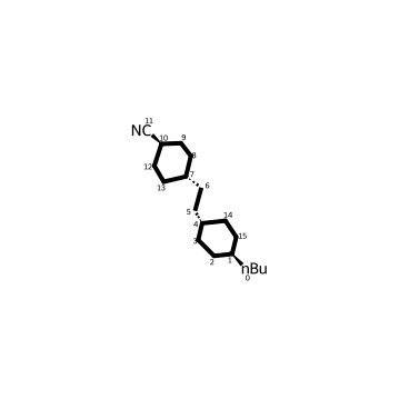 CCCC[C@H]1CC[C@H](CC[C@H]2CC[C@H](C#N)CC2)CC1